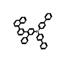 c1ccc(-c2ccc(N(c3ccc(-c4ccccc4)cc3)c3ccc(-c4cccc(-c5cccc6ccccc56)c4)c(-c4ccccc4)c3)cc2)cc1